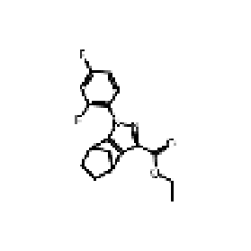 CCOC(=O)c1nn(-c2ccc(F)cc2F)c2c1C1CCC2C1